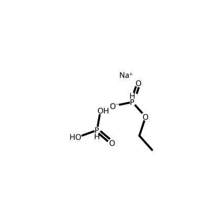 CCO[PH](=O)[O-].O=[PH](O)O.[Na+]